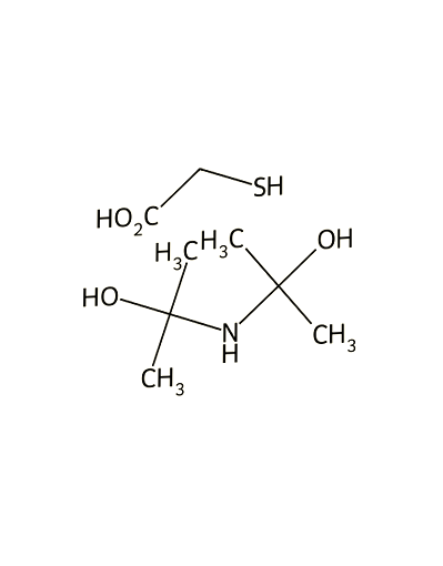 CC(C)(O)NC(C)(C)O.O=C(O)CS